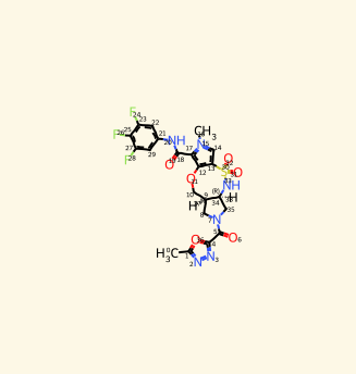 Cc1nnc(C(=O)N2C[C@H]3COc4c(cn(C)c4C(=O)Nc4cc(F)c(F)c(F)c4)S(=O)(=O)N[C@H]3C2)o1